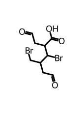 O=CCC(CBr)C(Br)C(CC=O)C(=O)O